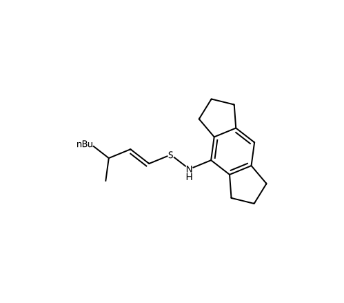 CCCCC(C)/C=C/SNc1c2c(cc3c1CCC3)CCC2